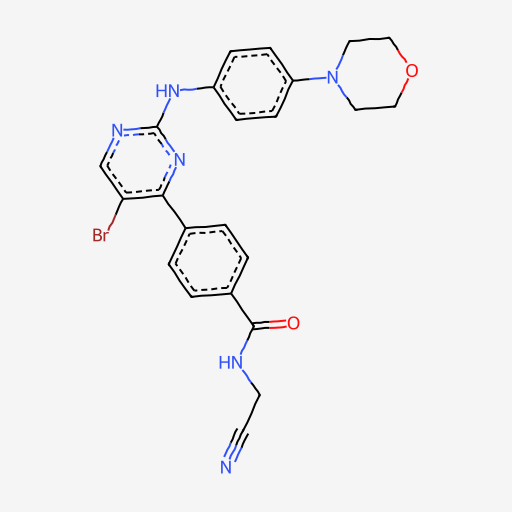 N#CCNC(=O)c1ccc(-c2nc(Nc3ccc(N4CCOCC4)cc3)ncc2Br)cc1